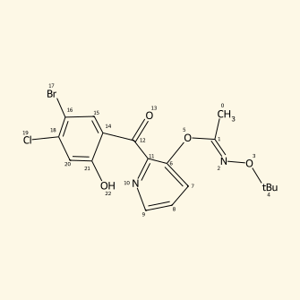 CC(=NOC(C)(C)C)Oc1cccnc1C(=O)c1cc(Br)c(Cl)cc1O